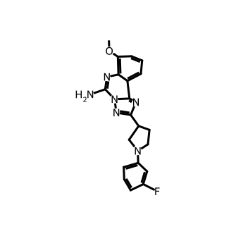 COc1cccc2c1nc(N)n1nc(C3CCN(c4cccc(F)c4)C3)nc21